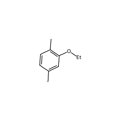 CCOc1cc(C)ccc1C